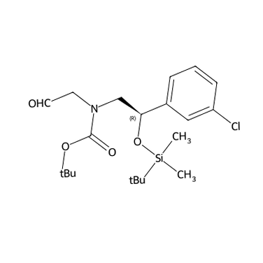 CC(C)(C)OC(=O)N(CC=O)C[C@H](O[Si](C)(C)C(C)(C)C)c1cccc(Cl)c1